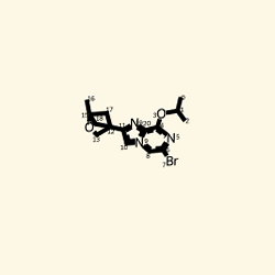 CC(C)Oc1nc(Br)cn2cc(C34COC(C)(C3)C4)nc12